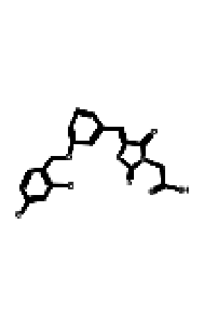 O=C(O)CN1C(=O)C(=Cc2cccc(OCc3ccc(Cl)cc3Cl)c2)SC1=S